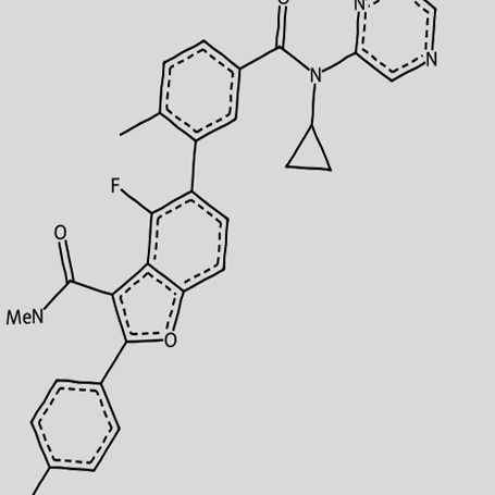 CNC(=O)c1c(-c2ccc(F)cc2)oc2ccc(-c3cc(C(=O)N(c4cnccn4)C4CC4)ccc3C)c(F)c12